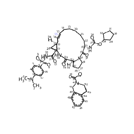 CN(C)c1ccc(S(=O)(=O)NC(=O)[C@@]23C[C@H]2/C=C\CCCCC[C@H](NC(=O)OC2CCCC2)C(=O)N2C[C@H](OC(=O)N4CCc5ccccc5C4)C[C@H]2C(=O)N3)cc1